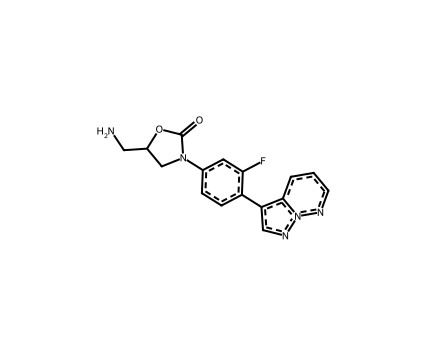 NCC1CN(c2ccc(-c3cnn4ncccc34)c(F)c2)C(=O)O1